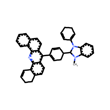 CN1c2ccccc2N(C2=CCCC=C2)C1C1C=CC(c2c3ccc4c(c3nc3c2ccc2ccccc23)C=CCC4)=CC1